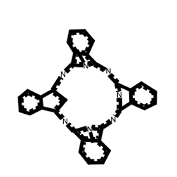 Cn1c2nc3cc(nc4c5ccccc5c(nc5nc(nc1c1ccccc12)-c1ccccc1-5)n4C)-c1ccccc1-3